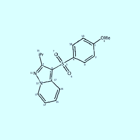 COc1ccc(S(=O)(=O)c2c(C(C)C)nn3ccccc23)cc1